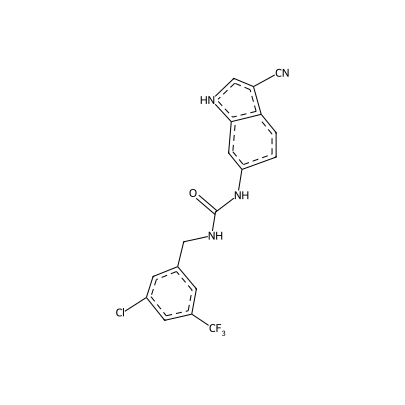 N#Cc1c[nH]c2cc(NC(=O)NCc3cc(Cl)cc(C(F)(F)F)c3)ccc12